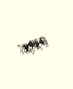 CC1=CC2C(CC(C)C2[Si](C)(C)C2C(C)CC3C(c4cc(C(C)(C)C)cc(C(C)(C)C)c4)=CC(C)=CC32)C(c2cc(C(C)(C)C)cc(C(C)(C)C)c2)=C1